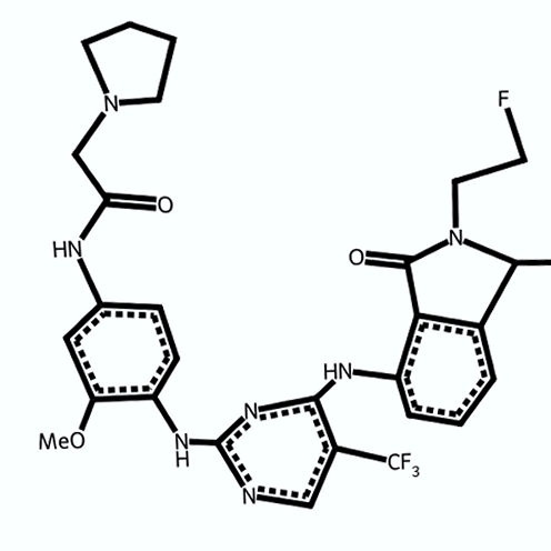 COc1cc(NC(=O)CN2CCCC2)ccc1Nc1ncc(C(F)(F)F)c(Nc2cccc3c2C(=O)N(CCF)C3C)n1